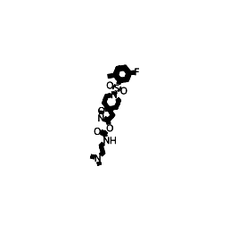 Cc1ccc(F)cc1S(=O)(=O)N1CCC2(CC1)CC(OC(=O)NCCN(C)C)=NO2